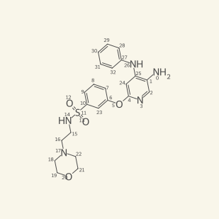 Nc1cnc(Oc2cccc(S(=O)(=O)NCCN3CCOCC3)c2)cc1Nc1ccccc1